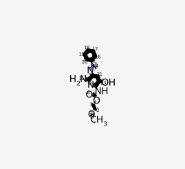 COCCOC(=O)Nc1nc(N)c(/N=N/c2ccccc2)cc1O